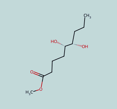 CCC[C@H](O)[C@@H](O)CCCC(=O)OC